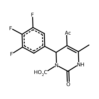 CC(=O)C1=C(C)NC(=O)N(C(=O)O)C1c1cc(F)c(F)c(F)c1